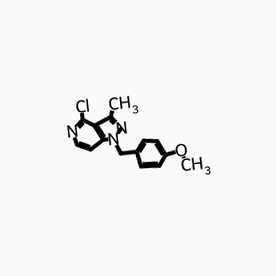 COc1ccc(Cn2nc(C)c3c(Cl)nccc32)cc1